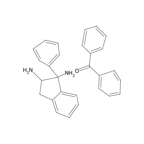 NC1Cc2ccccc2C1(N)c1ccccc1.O=C(c1ccccc1)c1ccccc1